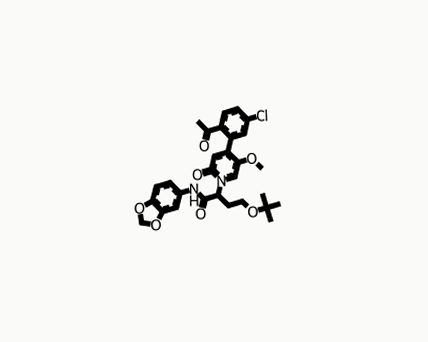 COc1cn(C(CCOC(C)(C)C)C(=O)Nc2ccc3c(c2)OCO3)c(=O)cc1-c1cc(Cl)ccc1C(C)=O